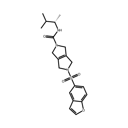 CC(C)[C@H](C)NC(=O)N1CC2=C(C1)CN(S(=O)(=O)c1ccc3occc3c1)C2